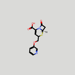 O=C(O)C1=CC(COc2cccnc2)S[C@@H]2CC(=O)N12